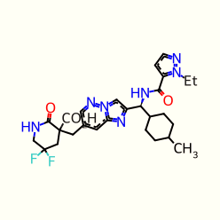 CCn1nccc1C(=O)N[C@H](c1cn2ncc(CC3(C(=O)O)CC(F)(F)CNC3=O)cc2n1)C1CCC(C)CC1